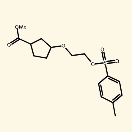 COC(=O)C1CCC(OCCOS(=O)(=O)c2ccc(C)cc2)C1